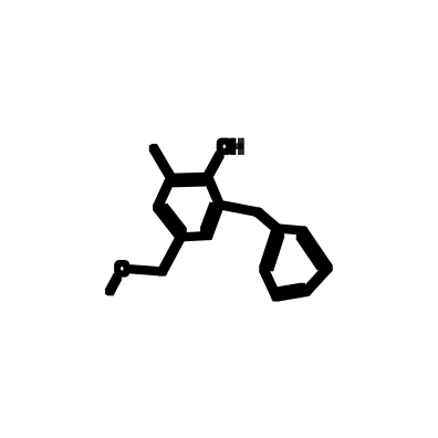 COCc1cc(C)c(O)c(Cc2ccccc2)c1